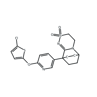 O=S1(=O)CCN2C(=N1)C1(c3ccc(Oc4ccc(Cl)s4)nc3)CCC2CC1